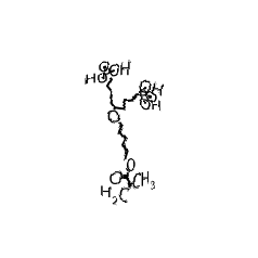 C=C(C)C(=O)OCCCCCCOC(CCCCP(=O)(O)O)CCCCP(=O)(O)O